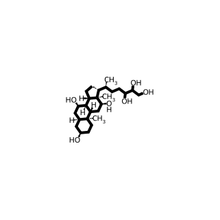 C[C@H](CCC(O)C(O)CO)[C@H]1CC[C@H]2[C@@H]3[C@H](O)C[C@@H]4C[C@H](O)CC[C@]4(C)[C@H]3C[C@H](O)[C@]12C